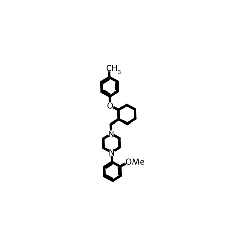 COc1ccccc1N1CCN(CC2CCCCC2Oc2ccc(C)cc2)CC1